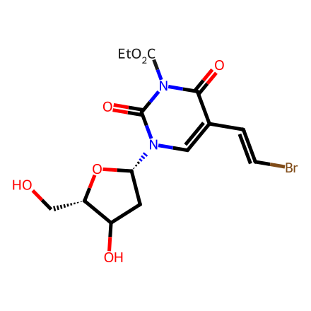 CCOC(=O)n1c(=O)c(C=CBr)cn([C@@H]2CC(O)[C@H](CO)O2)c1=O